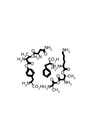 C[C@@H](OC(=O)[C@@H](N)CC(N)=O)[C@H](N)C(=O)Oc1ccc(C[C@H](N)C(=O)O)cc1.C[C@H](N)C(=O)OC(=O)[C@@H](N)[C@@H](C)OC(=O)[C@@H](N)CCCCN.N[C@@H](Cc1ccccc1)C(=O)O